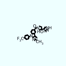 Cn1cc2c3cc(C(=O)N4CCC(O)(c5c[nH]nn5)C4)ccc3n(-c3ccc(C(F)(F)F)cc3)c2n1